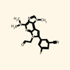 BN(C)c1nc2c(cc(-c3cc(F)cc(C#N)c3)n2CC=O)c2c1ncn2C